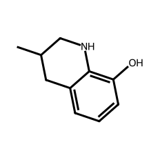 CC1CNc2c(O)cccc2C1